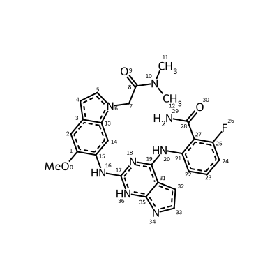 COc1cc2ccn(CC(=O)N(C)C)c2cc1Nc1nc(Nc2cccc(F)c2C(N)=O)c2ccnc-2[nH]1